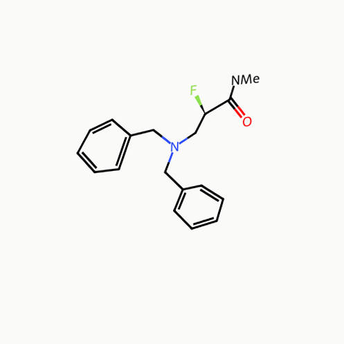 CNC(=O)[C@H](F)CN(Cc1ccccc1)Cc1ccccc1